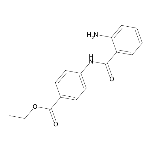 CCOC(=O)c1ccc(NC(=O)c2ccccc2N)cc1